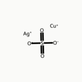 O=S(=O)([O-])[O-].[Ag+].[Cu+]